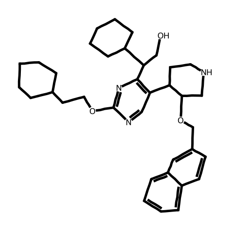 OCC(c1nc(OCCC2CCCCC2)ncc1C1CCNCC1OCc1ccc2ccccc2c1)C1CCCCC1